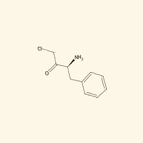 N[C@@H](Cc1ccccc1)C(=O)[CH]Cl